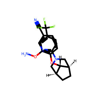 N#Cc1ccc(N2C[C@H]3CC[C@@H](C2)[C@@H]3Oc2ccc(C(F)(F)F)cc2ON)nc1